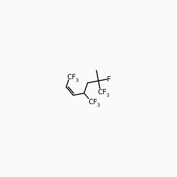 CC(F)(CC(/C=C\C(F)(F)F)C(F)(F)F)C(F)(F)F